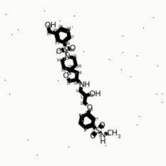 CNS(=O)(=O)c1cccc(OCC(O)CNC2COC3(CCN(S(=O)(=O)c4cccc(CO)c4)CC3)C2)c1